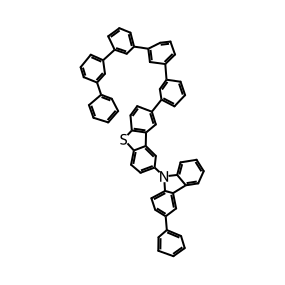 c1ccc(-c2cccc(-c3cccc(-c4cccc(-c5cccc(-c6ccc7sc8ccc(-n9c%10ccccc%10c%10cc(-c%11ccccc%11)ccc%109)cc8c7c6)c5)c4)c3)c2)cc1